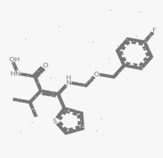 CC(C)/C(C(=O)NO)=C(/NCOCc1ccc(F)cc1)c1cccs1